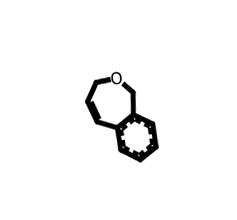 C1=Cc2ccccc2COC1